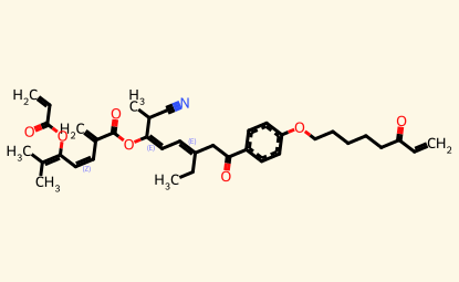 C=CC(=O)CCCCCOc1ccc(C(=O)C/C(=C/C=C(/OC(=O)C(=C)/C=C\C(OC(=O)C=C)=C(C)C)C(C)C#N)CC)cc1